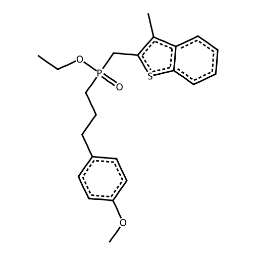 CCOP(=O)(CCCc1ccc(OC)cc1)Cc1sc2ccccc2c1C